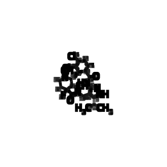 CC(C)c1[nH]nc(NC(=O)c2ccc(Cl)c(Cl)c2)c1CN(C)C(=O)C1(F)CCN(C)CC1